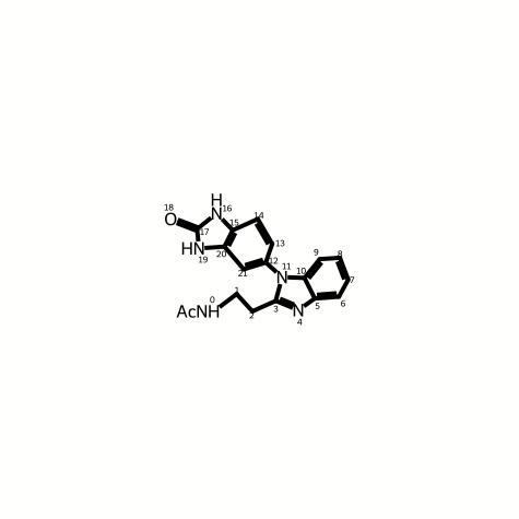 CC(=O)NCCc1nc2ccccc2n1-c1ccc2[nH]c(=O)[nH]c2c1